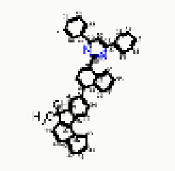 CC1(C)c2cc(-c3ccc(-c4nc(-c5ccccc5)cc(-c5ccccc5)n4)c4ccccc34)ccc2-c2c1ccc1ccccc21